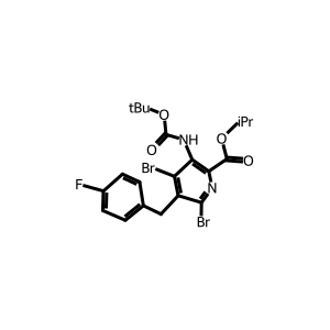 CC(C)OC(=O)c1nc(Br)c(Cc2ccc(F)cc2)c(Br)c1NC(=O)OC(C)(C)C